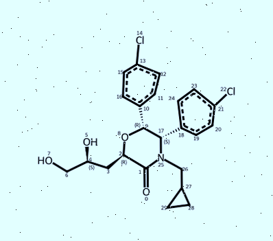 O=C1[C@@H](C[C@H](O)CO)O[C@H](c2ccc(Cl)cc2)[C@H](c2ccc(Cl)cc2)N1CC1CC1